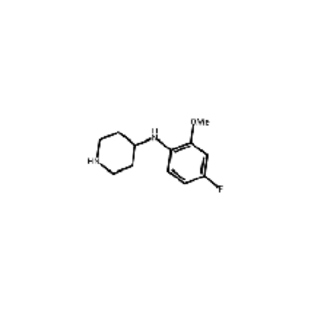 COc1cc(F)ccc1NC1CCNCC1